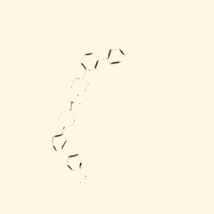 COc1ccc(-c2cccc(C3CCC(C(C)(C)C4CCC(c5cccc(-c6ccc(CO)cc6)c5)CC4)CC3)c2)cc1